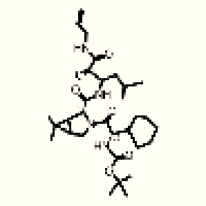 C=CCNC(=O)C(=O)C(CC(C)C)NC(=O)[C@@H]1C2C(CN1C(=O)[C@@H](NC(=O)OC(C)(C)C)C1CCCCC1)C2(C)C